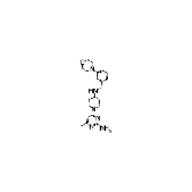 Cc1cc(N2CCC(NCc3cccc(N4CCOCC4)c3)CC2)nc(N)n1